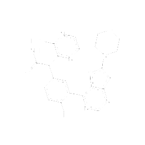 Cc1nccnc1C(C(N)=O)c1ccc(F)c(-c2ncnc3cc(N4CCOCC4)sc23)c1